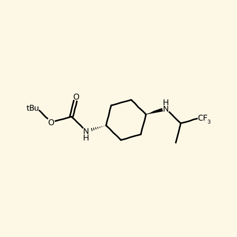 CC(N[C@H]1CC[C@H](NC(=O)OC(C)(C)C)CC1)C(F)(F)F